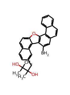 Bc1cc2ccc3ccccc3c2c2oc3ccc4ccc(CC(C)(O)C(C)(C)O)cc4c3c12